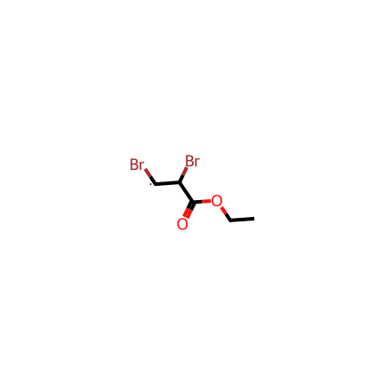 CCOC(=O)C(Br)[CH]Br